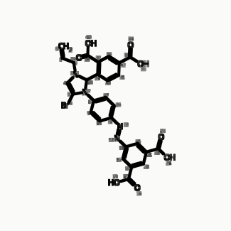 C=CCN1C=C(Br)N(c2ccc(N=Nc3cc(C(=O)O)cc(C(=O)O)c3)cc2)C1c1ccc(C(=O)O)cc1C(=O)O